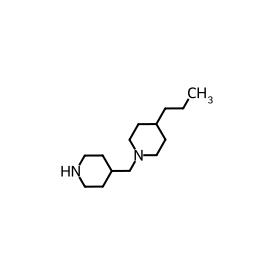 CCCC1CCN(CC2CCNCC2)CC1